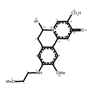 COCCNc1cc2c(cc1OC)-c1cc(=O)c(C(=O)O)cn1C(C(C)C)C2